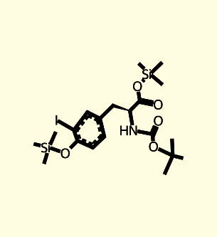 CC(C)(C)OC(=O)N[C@@H](Cc1ccc(O[Si](C)(C)C)c(I)c1)C(=O)O[Si](C)(C)C